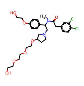 CN(C(=O)Cc1ccc(Cl)c(Cl)c1)C(CN1CCC(OCCOCCOCCO)C1)c1ccc(OCCO)cc1